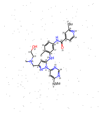 CNc1cc(-n2nc(CN(C)CCO)cc2Nc2cc(NC(=O)c3ccnc(C(C)(C)C)c3)ccc2C)ncn1